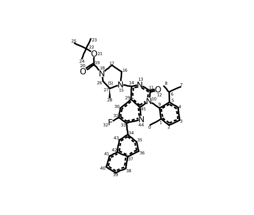 Cc1cccc(C(C)C)c1-n1c(=O)nc(N2CCN(C(=O)OC(C)(C)C)C[C@@H]2C)c2cc(F)c(-c3ccc4ccccc4c3)nc21